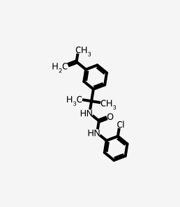 C=C(C)c1cccc(C(C)(C)NC(=O)Nc2ccccc2Cl)c1